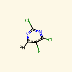 [2H]c1nc(Cl)nc(Cl)c1F